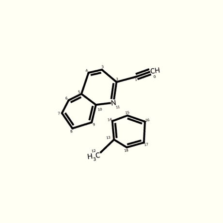 C#Cc1ccc2ccccc2n1.Cc1ccccc1